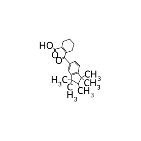 CC1C(C)(C)c2ccc(C(=O)C3=C(C(=O)O)CCCC3)cc2C1(C)C